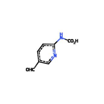 O=Cc1ccc(NC(=O)O)nc1